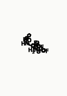 CC(C)C[C@@H](NCCc1cc(F)c(-n2c(N)c(C(=O)c3ccc(F)cc3F)ccc2=O)c(F)c1)C(=O)OC1CCCC1